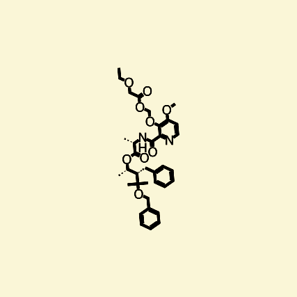 CCOCC(=O)OCOc1c(OC)ccnc1C(=O)N[C@@H](C)C(=O)O[C@@H](C)[C@H](Cc1ccccc1)C(C)(C)OCc1ccccc1